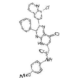 COc1ccc(N[S+]([O-])Cc2cc(=O)c3nc(-c4cc(Cl)c5ncccc5c4)c(-c4ccccc4)nc3[nH]2)cc1